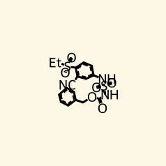 CCS(=O)(=O)c1ccc(NS(=O)(=O)NC(=O)OCc2ccccc2)cc1C#N